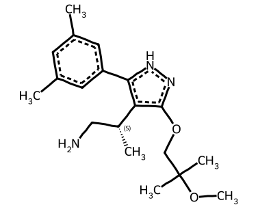 COC(C)(C)COc1n[nH]c(-c2cc(C)cc(C)c2)c1[C@H](C)CN